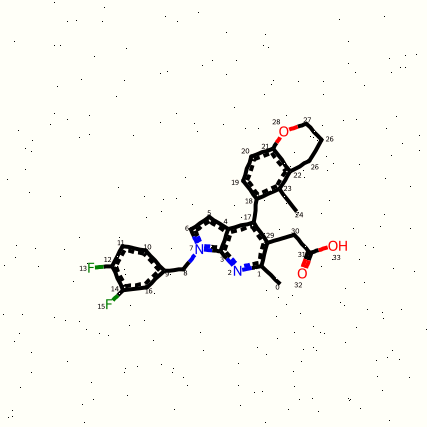 Cc1nc2c(ccn2Cc2ccc(F)c(F)c2)c(-c2ccc3c(c2C)CCCO3)c1CC(=O)O